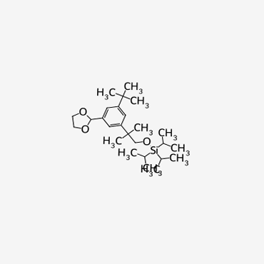 CC(C)[Si](OCC(C)(C)c1cc(C2OCCO2)cc(C(C)(C)C)c1)(C(C)C)C(C)C